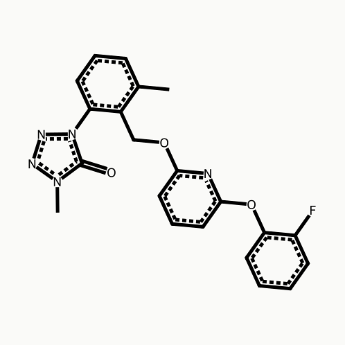 Cc1cccc(-n2nnn(C)c2=O)c1COc1cccc(Oc2ccccc2F)n1